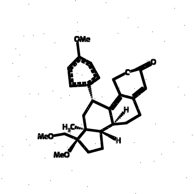 COC[C@@]1(OC)CC[C@H]2[C@@H]3CCC4=CC(=O)CCC4=C3[C@@H](c3ccc(OC)cc3)C[C@@]21C